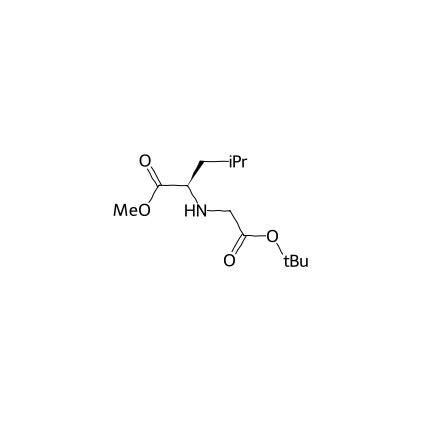 COC(=O)[C@@H](CC(C)C)NCC(=O)OC(C)(C)C